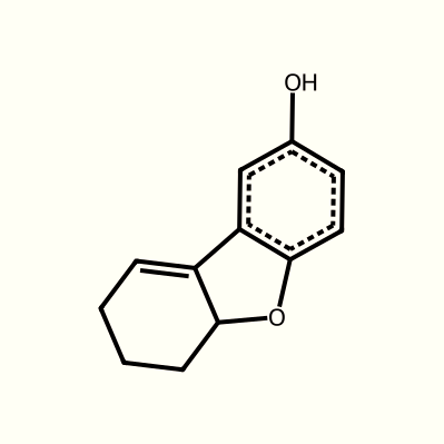 Oc1ccc2c(c1)C1=CCCCC1O2